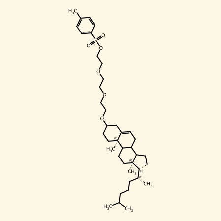 Cc1ccc(S(=O)(=O)OCCOCCOCCOC2CC[C@@]3(C)C(=CCC4C3CC[C@@]3(C)C4CC[C@@H]3[C@H](C)CCCC(C)C)C2)cc1